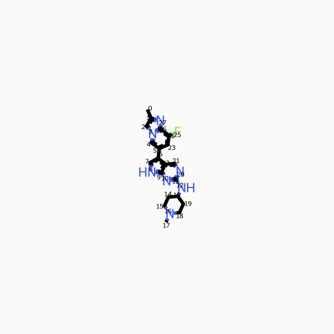 Cc1cn2cc(-c3c[nH]c4nc(NC5CCN(C)CC5)ncc34)cc(F)c2n1